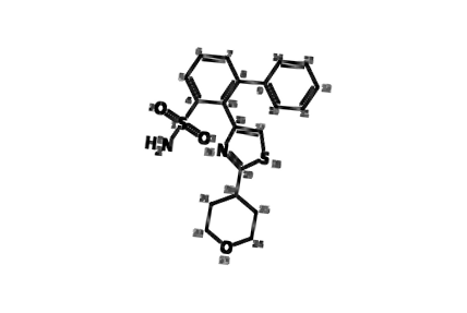 NS(=O)(=O)c1cccc(-c2ccccc2)c1-c1csc(C2CCOCC2)n1